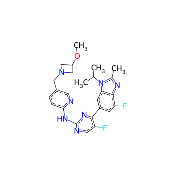 COC1CN(Cc2ccc(Nc3ncc(F)c(-c4cc(F)c5nc(C)n(C(C)C)c5c4)n3)nc2)C1